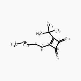 CNCCNc1c(C(C)(C)C)c(=O)c1=S